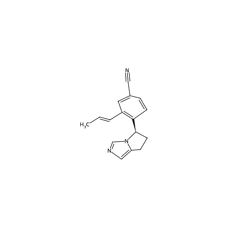 C/C=C/c1cc(C#N)ccc1[C@H]1CCc2cncn21